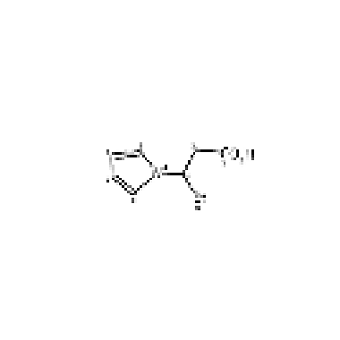 CCC(CC(=O)O)n1cccc1